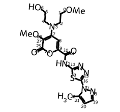 COCCN(CCO)c1cc(C(=O)Nc2nnc(-n3nccc3C)s2)oc(=O)c1OC